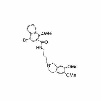 COc1cc2c(cc1OC)CN(CCCCNC(=O)c1cc(Br)c3ccccc3c1OC)CC2